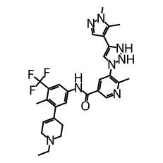 CCN1CC=C(c2cc(NC(=O)c3cnc(C)c(N4C=C(c5cnn(C)c5C)NN4)c3)cc(C(F)(F)F)c2C)CC1